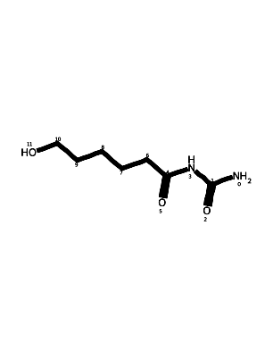 NC(=O)NC(=O)CCCCCO